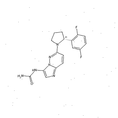 NC(=O)Nc1cnc2ccc(N3CCC[C@@H]3c3cc(F)ccc3F)nn12